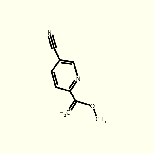 C=C(OC)c1ccc(C#N)cn1